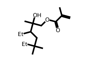 C=C(C)C(=O)OCC(C)(O)C(CC)CC(C)(C)CC